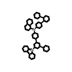 c1ccc(-c2cc(-c3ccc(N(c4ccc(-c5ccccc5-c5ccccc5)cc4)c4cccc5ccccc45)cc3)cc(-n3c4ccccc4c4ccccc43)c2)cc1